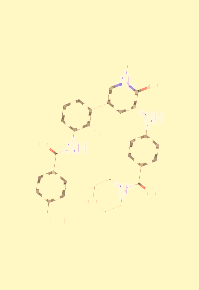 Cc1c(NC(=O)c2ccc(C(C)(C)C)cc2)cccc1-c1cc(Nc2ccc(C(=O)N3CCOCC3)cc2)c(=O)n(C)c1